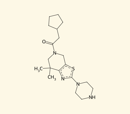 CC1(C)CN(C(=O)CC2CCCC2)Cc2sc(N3CCNCC3)nc21